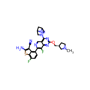 CN1CC[C@H](COc2nc(N3CC4CC(C3)N4)c3cnc(-c4ccc(F)c5sc(N)c(C#N)c45)c(F)c3n2)C1